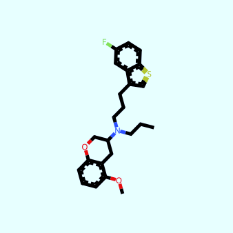 CCCN(CCCc1csc2ccc(F)cc12)C1COc2cccc(OC)c2C1